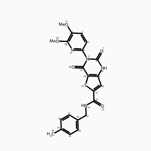 COc1ccc(-n2c(=O)[nH]c3cc(C(=O)NCc4ccc(C)cc4)sc3c2=O)nc1OC